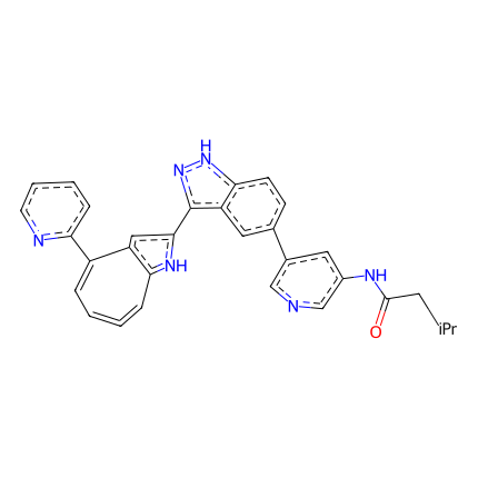 CC(C)CC(=O)Nc1cncc(-c2ccc3[nH]nc(-c4cc5c([nH]4)C=C=CC=C5c4ccccn4)c3c2)c1